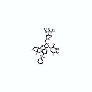 CCOP(=O)(OCC)c1cn(C[C@H]2O[C@@H](n3cc(C)c(=O)[nH]c3=O)CC2O[P@@]2O[C@H](C[Si](C)(c3ccccc3)c3ccccc3)[C@@H]3CCCN32)nn1